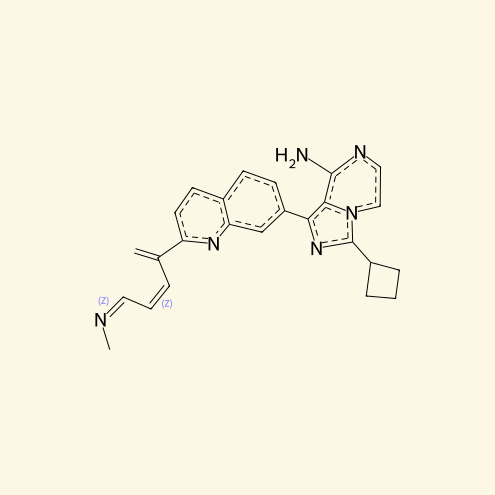 C=C(/C=C\C=N/C)c1ccc2ccc(-c3nc(C4CCC4)n4ccnc(N)c34)cc2n1